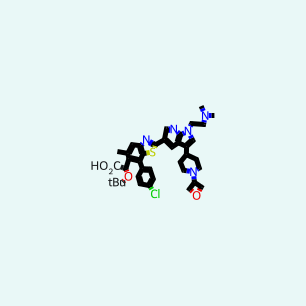 Cc1cc2nc(-c3cnc4c(c3)c(C3CCN(C5COC5)CC3)cn4CCN(C)C)sc2c(-c2ccc(Cl)cc2)c1C(OC(C)(C)C)C(=O)O